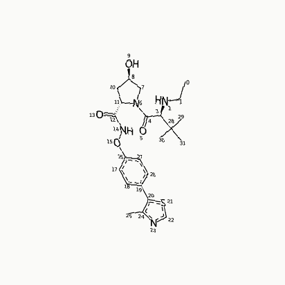 CCN[C@H](C(=O)N1C[C@H](O)C[C@H]1C(=O)NOc1ccc(-c2scnc2C)cc1)C(C)(C)C